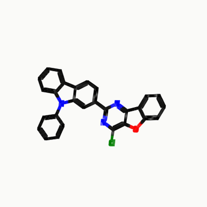 Clc1nc(-c2ccc3c4ccccc4n(-c4ccccc4)c3c2)nc2c1oc1ccccc12